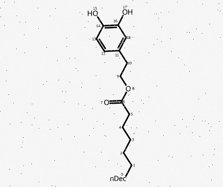 CCCCCCCCCCCCCCCC(=O)OCCc1ccc(O)c(O)c1